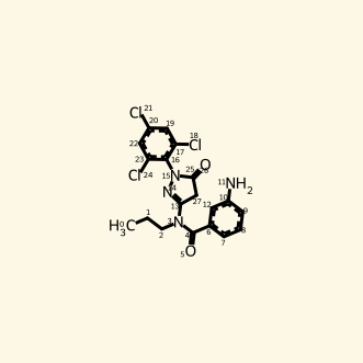 CCCN(C(=O)c1cccc(N)c1)C1=NN(c2c(Cl)cc(Cl)cc2Cl)C(=O)C1